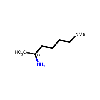 CNCCCC[C@@H](N)C(=O)O